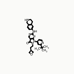 CC(C)(C)c1cc(-n2c3nc(Nc4ccc5c(c4)CCNC5)ncc3c(=O)n2CCC2COC2)ccn1